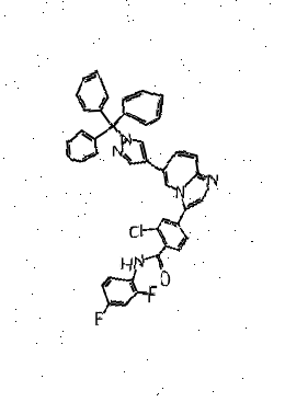 O=C(Nc1ccc(F)cc1F)c1ccc(-c2cnc3ccc(-c4cnn(C(c5ccccc5)(c5ccccc5)c5ccccc5)c4)cn23)cc1Cl